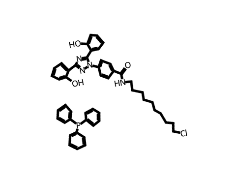 O=C(NCCCCCCCCCCCl)c1ccc(-n2nc(-c3ccccc3O)nc2-c2ccccc2O)cc1.c1ccc(P(c2ccccc2)c2ccccc2)cc1